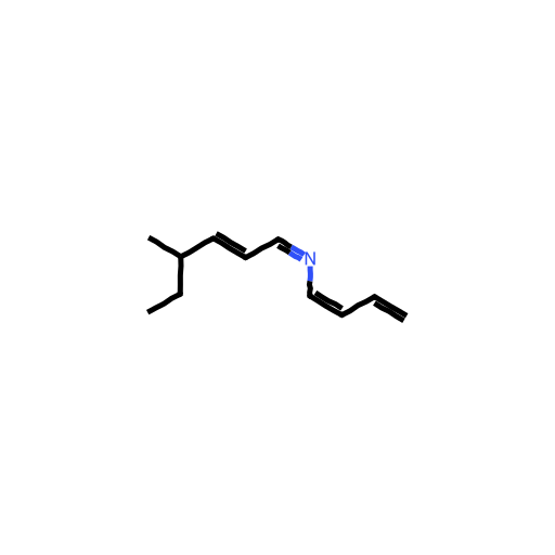 C=C\C=C/N=C\C=C\C(C)CC